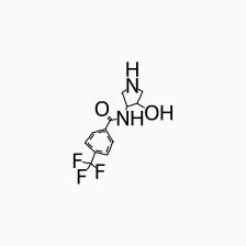 O=C(NC1CNCC1O)c1ccc(C(F)(F)F)cc1